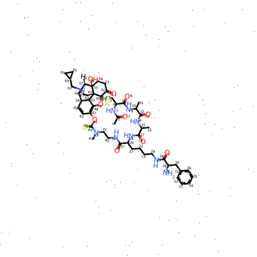 CC(=O)NC(CS)C(=O)NC(C)C(=O)NC(C)C(=O)NC(CCCCNC(=O)C(N)Cc1ccccc1)C(=O)NCCN(C)C(=S)OC1=C2O[C@H]3C(=O)CC[C@@]4(O)[C@H]5CC(C=C1)C2[C@@]34CCN5CC1CC1